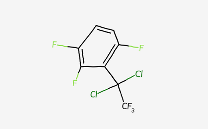 Fc1ccc(F)c(C(Cl)(Cl)C(F)(F)F)c1F